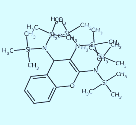 C[Si](C)(C)N(C1=C(N([Si](C)(C)C)[Si](C)(C)C)C(N([Si](C)(C)C)[Si](C)(C)C)c2ccccc2O1)[Si](C)(C)C